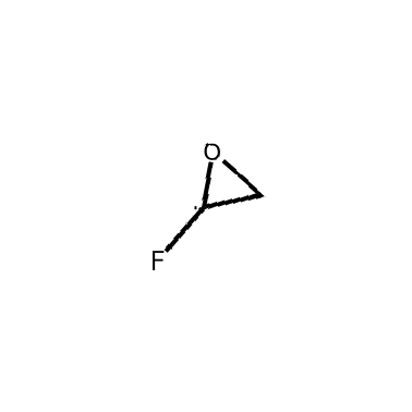 F[C]1CO1